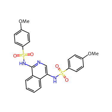 COc1ccc(S(=O)(=O)Nc2cnc(NS(=O)(=O)c3ccc(OC)cc3)c3ccccc23)cc1